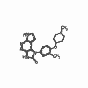 Cc1cc(-n2c(=O)[nH]c3nnc4[nH]ccc4c32)ccc1OC1CCN(C)CC1